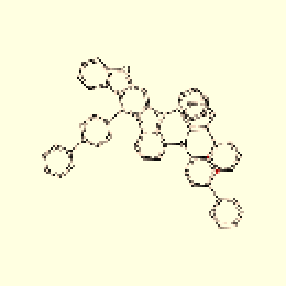 c1ccc(-c2ccc(-c3c4c(cc5c3c3cccc(N(c6ccc(-c7ccccc7)cc6)c6ccccc6-c6ccccc6)c3n5-c3ccccc3)oc3ccccc34)cc2)cc1